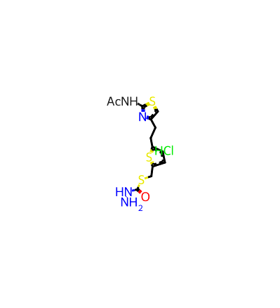 CC(=O)Nc1nc(CCc2ccc(CSC(=O)NN)s2)cs1.Cl